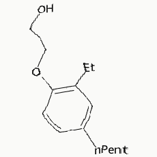 CCCCCc1ccc(OCCO)c(CC)c1